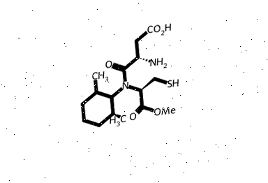 COC(=O)[C@H](CS)N(C(=O)[C@@H](N)CC(=O)O)C1C(C)CCC[C@@H]1C